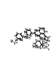 Cc1cccc(Nc2cc(-c3nc(NC4CCNCC4(C)C)c4c(C5CCC5)cncc4n3)ccn2)n1